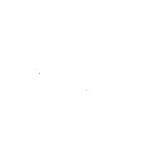 O=C(O)CCCNS(=O)(=O)c1ccc2c(c1)CCCC(=O)N2